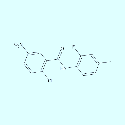 Cc1ccc(NC(=O)c2cc([N+](=O)[O-])ccc2Cl)c(F)c1